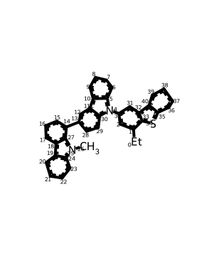 CCc1cc(-n2c3ccccc3c3cc(-c4cccc5c6ccccc6n(C)c45)ccc32)cc2c1sc1ccccc12